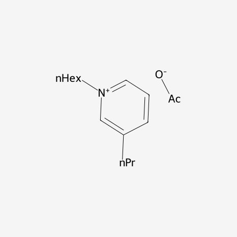 CC(=O)[O-].CCCCCC[n+]1cccc(CCC)c1